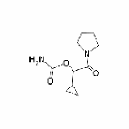 NC(=O)OC(C(=O)N1CCCC1)C1CC1